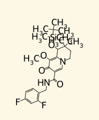 COc1c2n(cc(C(=O)NCc3ccc(F)cc3F)c1=O)CCC(C)(C)C2O[Si](C)(C)C(C)(C)C